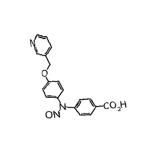 O=NN(c1ccc(OCc2cccnc2)cc1)c1ccc(C(=O)O)cc1